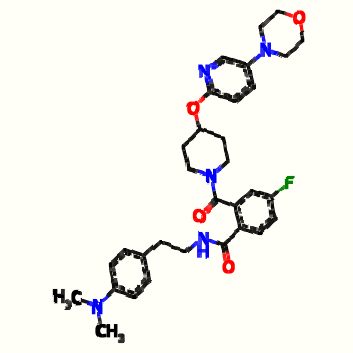 CN(C)c1ccc(CCNC(=O)c2ccc(F)cc2C(=O)N2CCC(Oc3ccc(N4CCOCC4)cn3)CC2)cc1